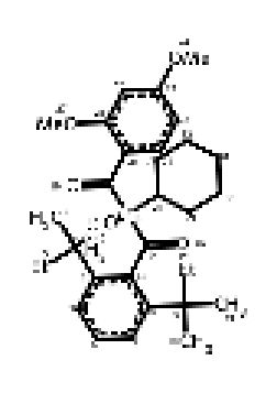 CCC(C)(C)c1cccc(C(C)(C)CC)c1C(=O)P(=O)(C(=O)c1ccc(OC)cc1OC)C1CCCCC1